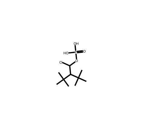 CC(C)(C)C(C(Cl)OP(=O)(O)O)C(C)(C)C